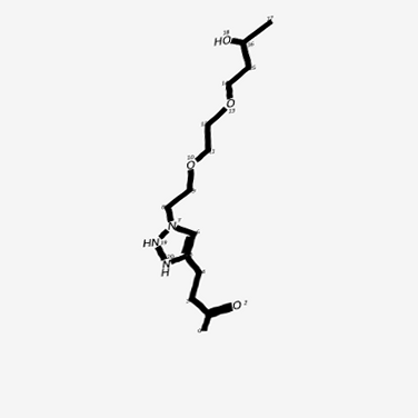 CC(=O)CCC1=CN(CCOCCOCCC(C)O)NN1